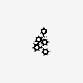 c1ccc(Nc2ccc3oc4cccc(N(c5ccccc5)c5ccccc5)c4c3c2)cc1